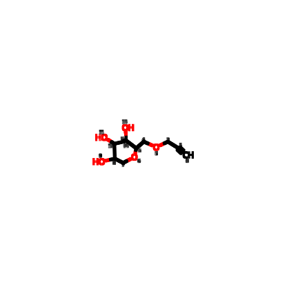 C#CCOCC1OCC(O)C(O)[C@H]1O